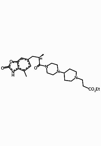 CCOC(=O)CCN1CCC(N2CCN(C(=O)[C@H](C)Cc3cc(C)c4[nH]c(=O)oc4c3)CC2)CC1